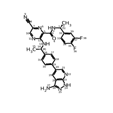 C[C@H](NC(=O)c1nc(C#N)cnc1N[C@H](C)c1ccc(-c2cnc3[nH]nc(N)c3c2)cc1)c1ccc(F)c(F)c1